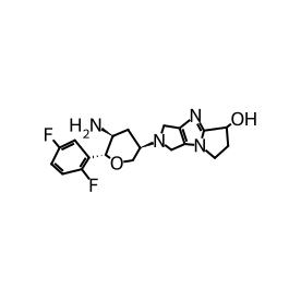 N[C@H]1C[C@@H](N2Cc3nc4n(c3C2)CCC4O)CO[C@@H]1c1cc(F)ccc1F